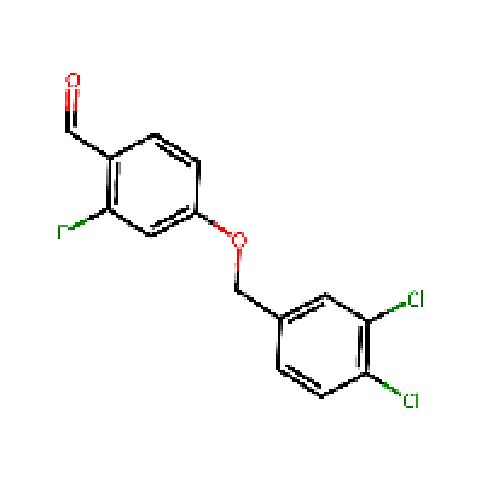 O=Cc1ccc(OCc2ccc(Cl)c(Cl)c2)cc1F